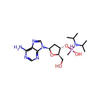 CC(C)N(C(C)C)[PH](C)(O)O[C@H]1C[C@H](n2cnc3c(N)ncnc32)O[C@@H]1CO